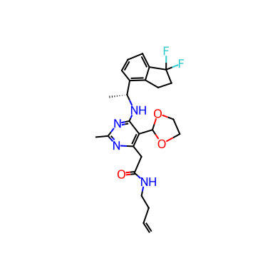 C=CCCNC(=O)Cc1nc(C)nc(N[C@H](C)c2cccc3c2CCC3(F)F)c1C1OCCO1